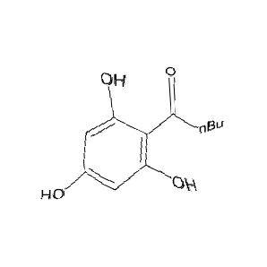 CCCCC(=O)c1c(O)cc(O)cc1O